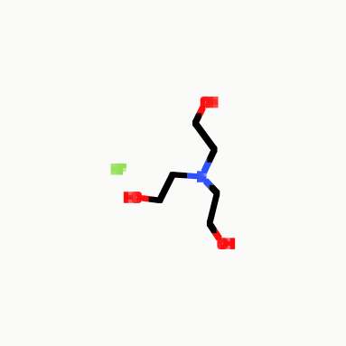 F.OCCN(CCO)CCO